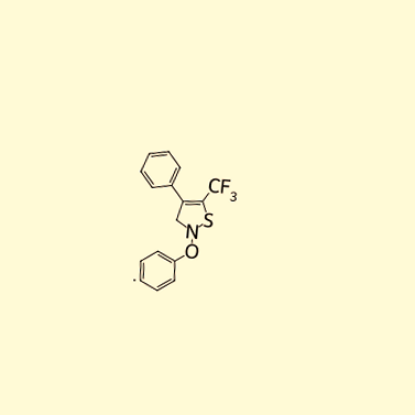 FC(F)(F)C1=C(c2ccccc2)CN(Oc2cc[c]cc2)S1